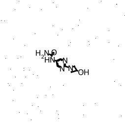 NC(=O)Nc1cnc(N2CC(O)C2)nc1